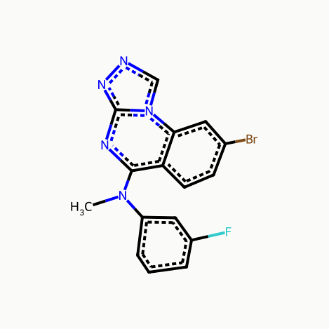 CN(c1cccc(F)c1)c1nc2nncn2c2cc(Br)ccc12